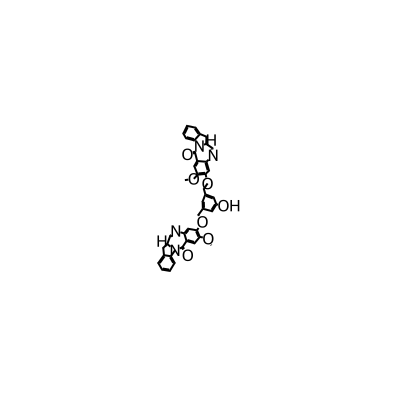 COc1cc2c(cc1OCc1cc(O)cc(COc3cc4c(cc3OC)C(=O)N3c5ccccc5C[C@H]3C=N4)c1)N=C[C@@H]1Cc3ccccc3N1C2=O